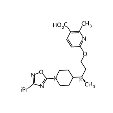 Cc1nc(OCC[C@@H](C)C2CCN(c3nc(C(C)C)no3)CC2)ccc1C(=O)O